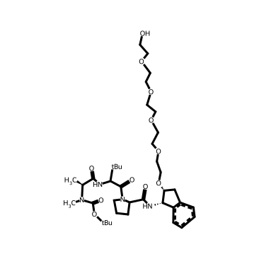 C[C@@H](C(=O)NC(C(=O)N1CCCC1C(=O)N[C@H]1c2ccccc2C[C@H]1OCCOCCOCCOCCOCCO)C(C)(C)C)N(C)C(=O)OC(C)(C)C